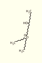 CCCCCCCCC(O)CCCCCCCC(=O)OC(CCCCCCCC)CCCCCCCC